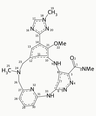 CNC(=O)c1nnc2cc1Nc1cc(cc(-c3ncn(C)n3)c1OC)CN(C)Cc1cccc(n1)N2